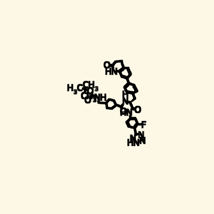 CC(C)(C)OC(=O)NCC1CCC(C(=O)N[C@@H](Cc2ccc(-c3ccc4c(c3)NC(=O)CC4)cc2)C(=O)Nc2ccc(-c3nn[nH]n3)c(F)c2)CC1